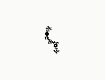 CCN(CCCOS(=O)(=O)OCCCN(CC)c1ccc(/N=N/c2n(C)cn[n+]2C)cc1)c1ccc(/N=N/c2n(C)cn[n+]2C)cc1